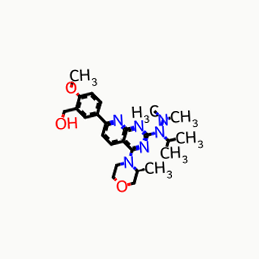 COc1ccc(-c2ccc3c(N4CCOC[C@@H]4C)nc(N(C(C)C)N(C)C)nc3n2)cc1CO